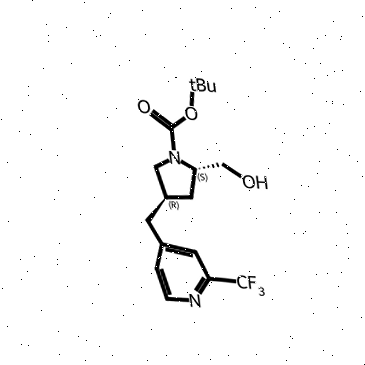 CC(C)(C)OC(=O)N1C[C@H](Cc2ccnc(C(F)(F)F)c2)C[C@H]1CO